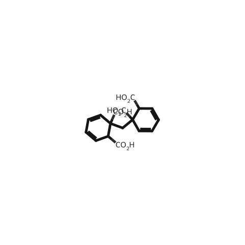 O=C(O)C1C=CC=CC1(CC1(C(=O)O)C=CC=CC1C(=O)O)C(=O)O